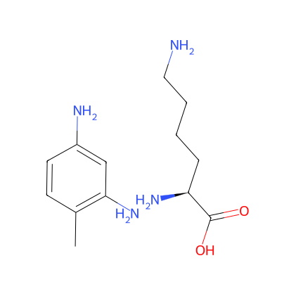 Cc1ccc(N)cc1N.NCCCC[C@H](N)C(=O)O